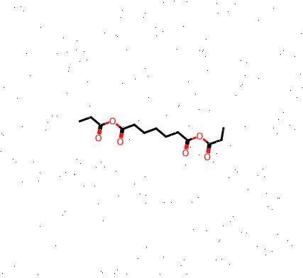 CCC(=O)OC(=O)CCCCCC(=O)OC(=O)CC